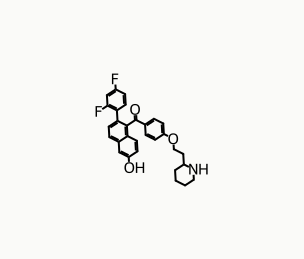 O=C(c1ccc(OCCC2CCCCN2)cc1)c1c(-c2ccc(F)cc2F)ccc2cc(O)ccc12